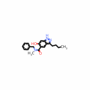 CCCCc1n[nH]c2cc(O)c(C(=O)N(C)Cc3ccccc3)cc12